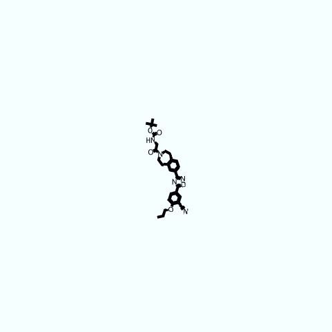 CCCOc1ccc(-c2nc(-c3ccc4c(c3)CCN(C(=O)CNC(=O)OC(C)(C)C)CC4)no2)cc1C#N